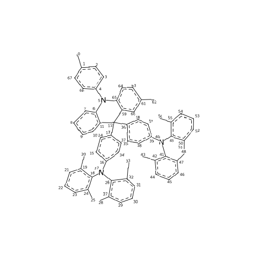 Cc1ccc(N2c3ccccc3C(c3ccc(N(c4c(C)cccc4C)c4c(C)cccc4C)cc3)(c3ccc(N(c4c(C)cccc4C)c4c(C)cccc4C)cc3)c3cc(C)ccc32)cc1